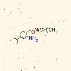 C=C(C)c1ccc(CON(C)O)c(N)c1